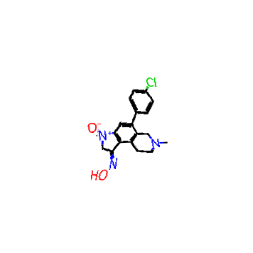 CN1CCc2c(c(-c3ccc(Cl)cc3)cc3c2C(=NO)C[N+]3[O-])C1